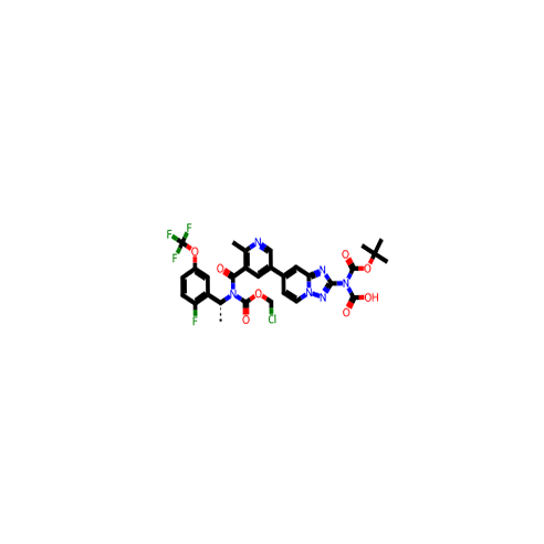 Cc1ncc(-c2ccn3nc(N(C(=O)O)C(=O)OC(C)(C)C)nc3c2)cc1C(=O)N(C(=O)OCCl)[C@H](C)c1cc(OC(F)(F)F)ccc1F